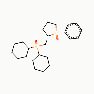 O=P(C[C@H]1CCC[P@@]1(=O)c1ccccc1)(C1CCCCC1)C1CCCCC1